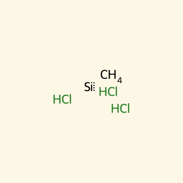 C.Cl.Cl.Cl.[Si]